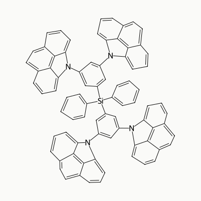 c1ccc([Si](c2ccccc2)(c2cc(-n3c4cccc5ccc6cccc3c6c54)cc(-n3c4cccc5ccc6cccc3c6c54)c2)c2cc(-n3c4cccc5ccc6cccc3c6c54)cc(-n3c4cccc5ccc6cccc3c6c54)c2)cc1